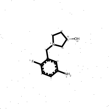 Nc1ccc(F)c(CN2CC[C@H](O)C2)c1